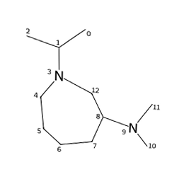 CC(C)N1CCCCC(N(C)C)C1